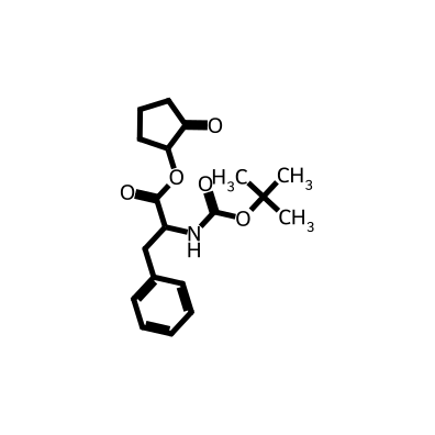 CC(C)(C)OC(=O)NC(Cc1ccccc1)C(=O)OC1CCCC1=O